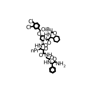 CCCC(NC(=O)[C@@H]1C[C@@H](OCc2ccc(Cl)c(Cl)c2)CN1C(=O)C(NC(=O)OCC(C)C)C1CCCCC1)C(=O)C(=O)NCC(=O)NC(C(N)=O)c1ccccc1